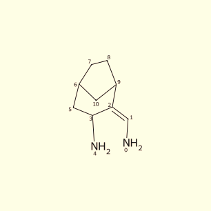 N/C=C1\C(N)CC2CCC1C2